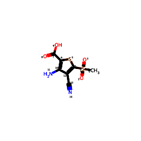 CS(=O)(=O)c1sc(C(=O)O)c(N)c1C#N